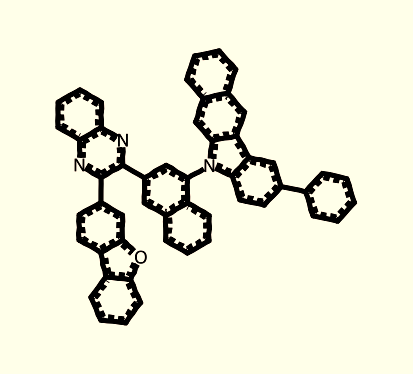 c1ccc(-c2ccc3c(c2)c2cc4ccccc4cc2n3-c2cc(-c3nc4ccccc4nc3-c3ccc4c(c3)oc3ccccc34)cc3ccccc23)cc1